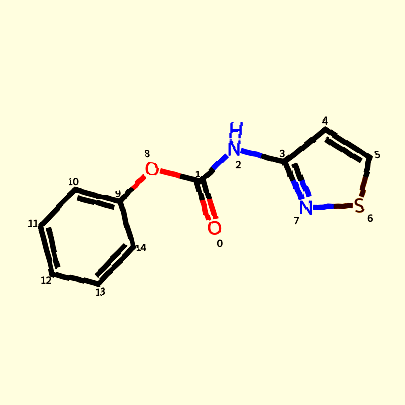 O=C(Nc1ccsn1)Oc1ccccc1